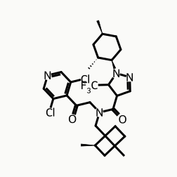 C[C@H]1CC[C@@H](N2N=CC(C(=O)N(CC(=O)c3c(Cl)cncc3Cl)CC34CCC3(C)C[C@H]4C)C2C(F)(F)F)[C@H](C)C1